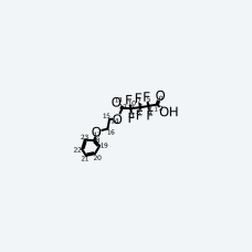 O=C(O)C(F)(F)C(F)(F)C(F)(F)C(=O)OCCOc1ccccc1